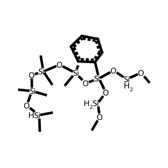 CO[SiH2]O[Si](O[SiH2]OC)(O[Si](C)(C)O[Si](C)(C)O[Si](C)(C)O[SiH](C)C)c1ccccc1